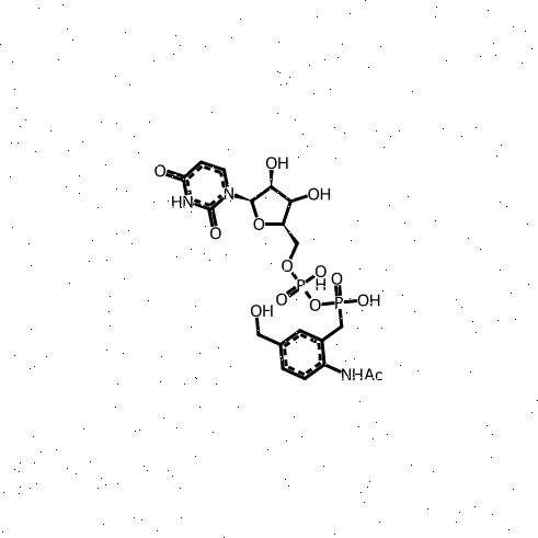 CC(=O)Nc1ccc(CO)cc1CP(=O)(O)OP(=O)(O)OC[C@H]1O[C@@H](n2ccc(=O)[nH]c2=O)[C@@H](O)C1O